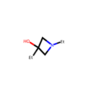 CCN1CC(O)(CC)C1